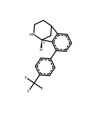 FC(F)(F)c1ccc(-c2cccc3c2[C@H]2CC3CCN2)cc1